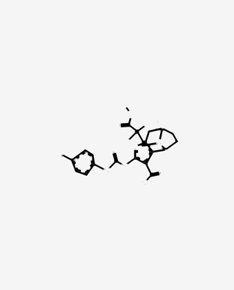 COC(=O)C(C)(C)CN1C2CC[C@@H]1Cc1sc(NC(=O)Nc3ccc(Cl)cc3)c(C(N)=O)c12